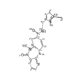 CCN1C(=O)c2ccccc2Sc2ccc(C(=O)NCc3csc(C)n3)cc21